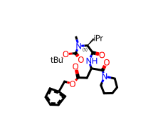 CC(C)[C@@H](C(=O)NC(CC(=O)OCc1ccccc1)C(=O)N1CCCCC1)N(C)C(=O)OC(C)(C)C